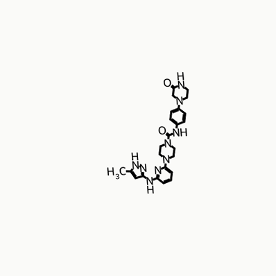 Cc1cc(Nc2cccc(N3CCN(C(=O)Nc4ccc(N5CCNC(=O)C5)cc4)CC3)n2)n[nH]1